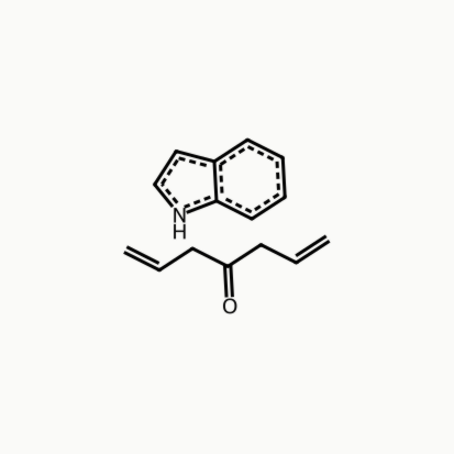 C=CCC(=O)CC=C.c1ccc2[nH]ccc2c1